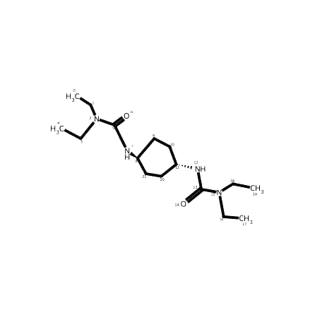 CCN(CC)C(=O)N[C@H]1CC[C@H](NC(=O)N(CC)CC)CC1